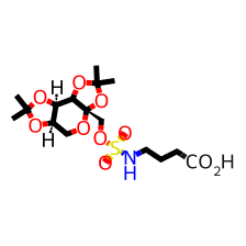 CC1(C)O[C@@H]2CO[C@@]3(COS(=O)(=O)NCCCC(=O)O)OC(C)(C)OC3[C@@H]2O1